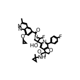 Cc1cc2cc(C(=O)N3C[C@](O)(c4cc5c(c(-c6ccc(F)cc6)n4)OC[C@]5(C)C(=O)NC4(C)CC4)C3F)cc(OC3CC3)c2nn1